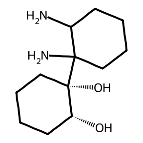 NC1CCCCC1(N)[C@]1(O)CCCC[C@H]1O